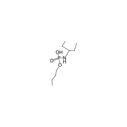 CCCCOP(=O)(O)NC(CC)CC